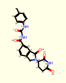 Cc1ccc(NC(=O)NC(=O)c2ccc3c(c2)C(=O)N(C2CCC(=O)NC2=O)C3)cc1